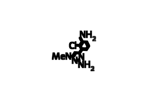 CNc1cc(-c2cccc(CN)c2Cl)nc(N)n1